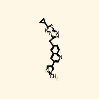 Cn1cc(-c2cnc3ccc(Cc4nnc5sc(C6CC6)nn45)cc3c2)cn1